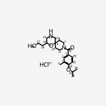 Cc1cc(C(=O)N2CCC3(CC2)CNCC(CCO)O3)ccc1OC(C)C.Cl